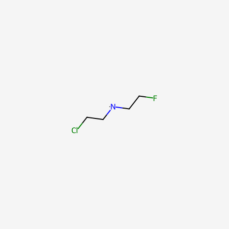 FCC[N]CCCl